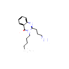 CCCCCCCCCCCCCCn1c(CCCN)nc2ccccc2c1=O